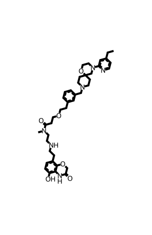 CCc1ccnc(N2CCOC3(CCN(Cc4cccc(CCOCCC(=O)N(C)CCNCCc5ccc(O)c6c5OCC(=O)N6)c4)CC3)C2)c1